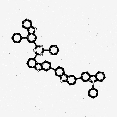 c1ccc(-c2nc(-c3cc(-c4ccccc4)c4c(c3)oc3ccccc34)nc(-c3cccc4sc5cc(-c6ccc7c(c6)oc6ccc(-c8ccc9c%10ccccc%10n(-c%10ccccc%10)c9c8)cc67)ccc5c34)n2)cc1